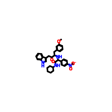 COc1cccc(CC(NC(C(=O)NC2CCCCC2)c2ccc([N+](=O)[O-])cc2)C(=O)Cc2c[nH]c3ccccc23)c1